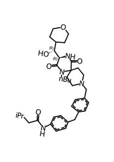 CCCCN1C(=O)[C@@H]([C@H](O)C2CCOCC2)NC(=O)C12CCN(Cc1ccc(Cc3ccc(NC(=O)CC(C)C)cc3)cc1)CC2